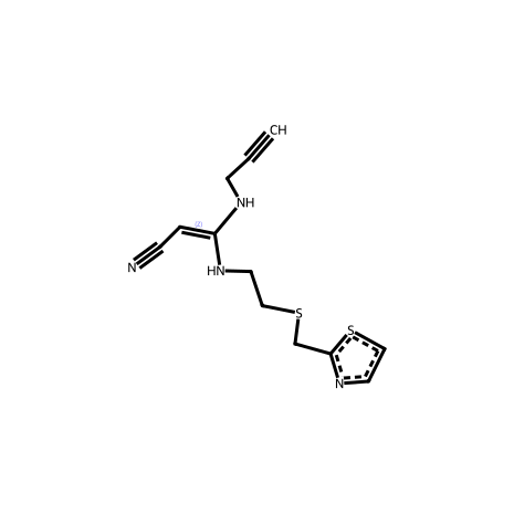 C#CCN/C(=C/C#N)NCCSCc1nccs1